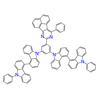 c1ccc(-c2nc(-c3cc(-n4c5ccccc5c5c(-c6cccc7c6c6ccccc6n7-c6ccccc6)cccc54)cc(-n4c5ccccc5c5c(-c6cccc7c6c6ccccc6n7-c6ccccc6)cccc54)c3)nc3c2-c2cccc4cccc-3c24)cc1